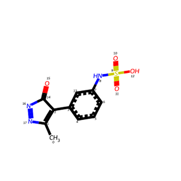 CC1=C(c2cccc(NS(=O)(=O)O)c2)C(=O)N=N1